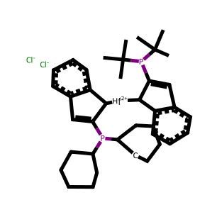 CC(C)(C)P(C1=Cc2ccccc2[CH]1[Hf+2][CH]1C(P(C2CCCCC2)C2CCCCC2)=Cc2ccccc21)C(C)(C)C.[Cl-].[Cl-]